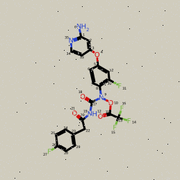 Nc1cc(Oc2ccc(N(OC(=O)C(F)(F)F)C(=O)NC(=O)Cc3ccc(F)cc3)c(F)c2)ccn1